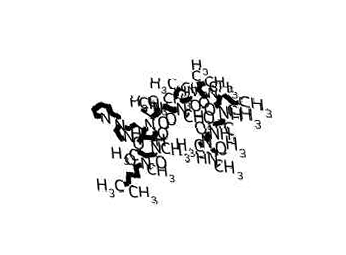 CC[C@@H](C(=O)N(C)[C@H](C)C(=O)N(C)[C@@H](CC(C)C)C(=O)N[C@H](C(=O)N(C)[C@@H](CC(C)C)C(=O)N[C@H](C)C(=O)NC(=O)N(C)C(=O)NC)C(C)C)N1C(=O)[C@@H]2[C@H](OC(C)[C@H](N(C)C(=O)CCC(C)C)C(=O)N2C)[C@H]1CC1=NCCN1Cc1ccccn1